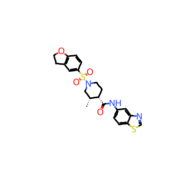 C[C@@H]1CN(S(=O)(=O)c2ccc3c(c2)CCO3)CC[C@@H]1C(=O)Nc1ccc2scnc2c1